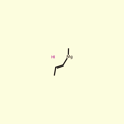 CC=[CH][Mg][CH3].I